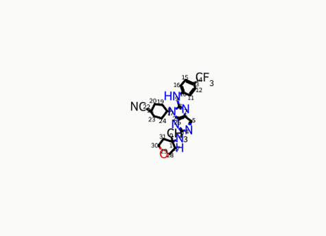 CC1(Nc2ncc3nc(Nc4ccc(C(F)(F)F)cc4)n(C4CCC(C#N)CC4)c3n2)CCOCC1